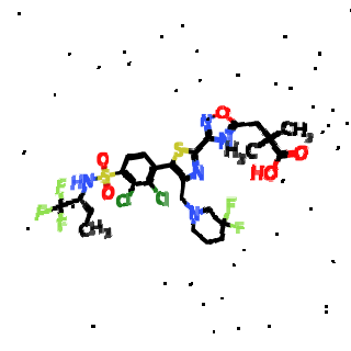 CC[C@H](NS(=O)(=O)c1ccc(-c2sc(-c3noc(CC(C)(C)C(=O)O)n3)nc2CN2CCCC(F)(F)C2)c(Cl)c1Cl)C(F)(F)F